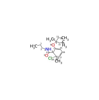 CCCNC(=O)C1C(OC(C)(CC)CC)=CC=CC1(C)Cl